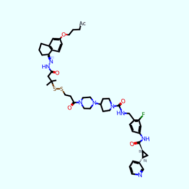 CC(=O)CCCOc1ccc2c(c1)CCC/C2=N\NC(=O)CC(C)(C)SSCCC(=O)N1CCN(C2CCN(C(=O)NCc3ccc(NC(=O)[C@H]4C[C@@H]4c4cccnc4)cc3F)CC2)CC1